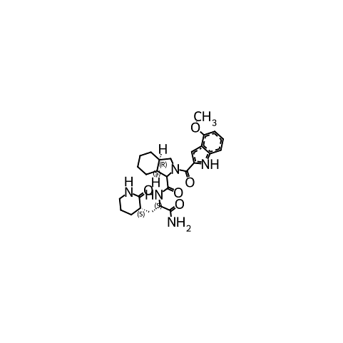 COc1cccc2[nH]c(C(=O)N3C[C@@H]4CCCC[C@@H]4C3C(=O)N[C@@H](C[C@@H]3CCCNC3=O)C(N)=O)cc12